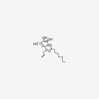 C=CCOC1O[C@H](CO)[C@@H](O)[C@H](O)[C@H]1OC(=O)CCCCCCC